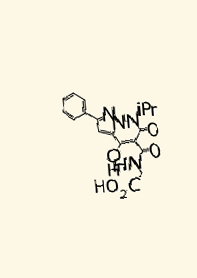 CC(C)n1c(=O)c(C(=O)NCC(=O)O)c(O)c2cc(-c3ccccc3)nn21